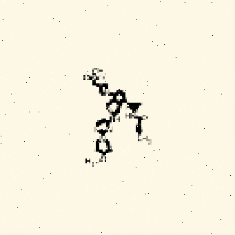 CC#CC(=O)N[C@H]1C[C@@H]1c1ccc(N2CC(CS(C)(=O)=O)C2)c2cnc(Nc3ccnc(N4CC[C@@H](OC)[C@@H](F)C4)n3)cc12